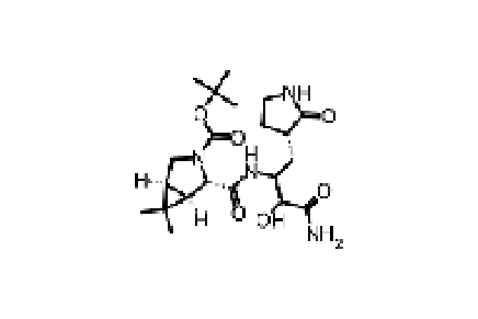 CC(C)(C)OC(=O)N1C[C@H]2[C@@H]([C@H]1C(=O)NC(C[C@@H]1CCNC1=O)C(O)C(N)=O)C2(C)C